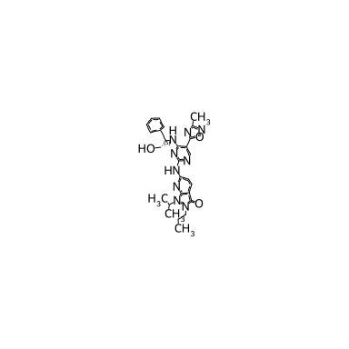 CCCn1c(=O)c2ccc(Nc3ncc(-c4nc(C)no4)c(N[C@H](CO)c4ccccc4)n3)nc2n1C(C)C